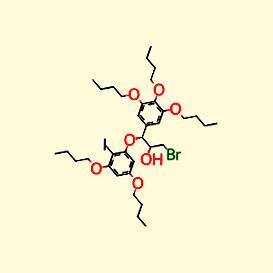 CCCCOc1cc(OCCCC)c(I)c(O[C@@H](c2cc(OCCCC)c(OCCCC)c(OCCCC)c2)[C@H](O)CBr)c1